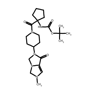 CN1C=C2C(=O)N(C3CCN(C(=O)C4(NC(=O)OC(C)(C)C)CCCC4)CC3)CN2C1